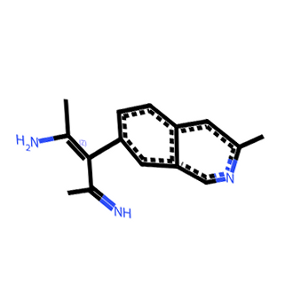 CC(=N)/C(=C(/C)N)c1ccc2cc(C)ncc2c1